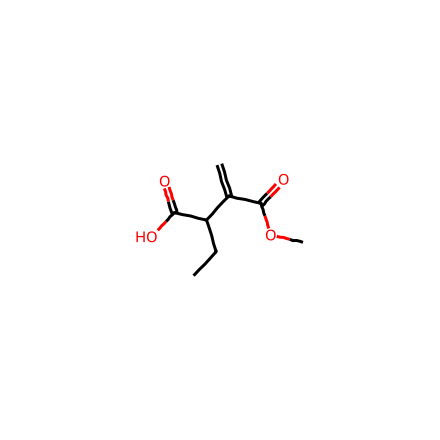 C=C(C(=O)OC)C(CC)C(=O)O